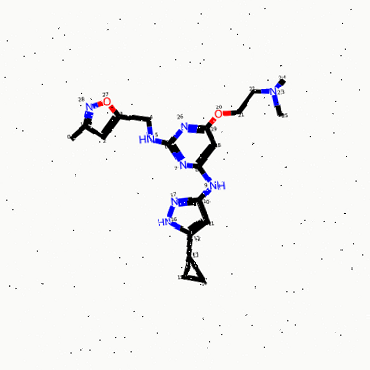 Cc1cc(CNc2nc(Nc3cc(C4CC4)[nH]n3)cc(OCCN(C)C)n2)on1